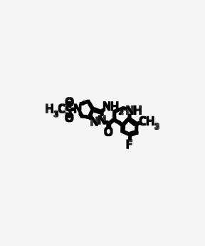 Cc1cc(F)cc2c1NCCC2C(=O)n1nc2c(c1N)CCN(S(C)(=O)=O)C2